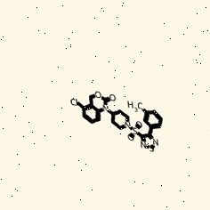 Cc1cccc(-c2nsnc2S(=O)(=O)N2CCC(N3C(=O)OCc4c(Cl)cccc43)CC2)c1